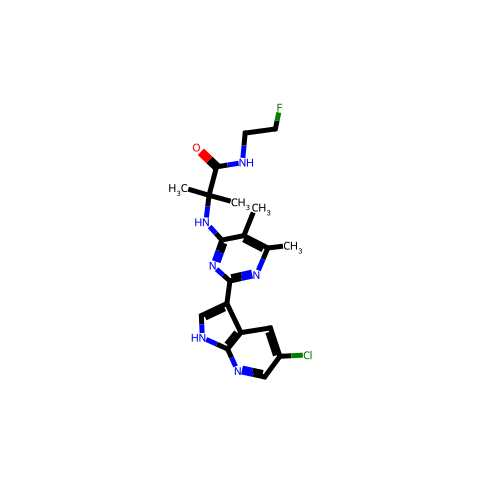 Cc1nc(-c2c[nH]c3ncc(Cl)cc23)nc(NC(C)(C)C(=O)NCCF)c1C